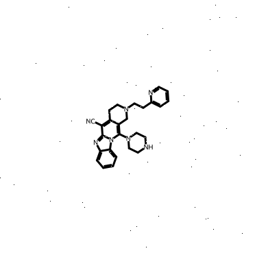 N#Cc1c2c(c(N3CCNCC3)n3c1nc1ccccc13)CN(CCc1ccccn1)CC2